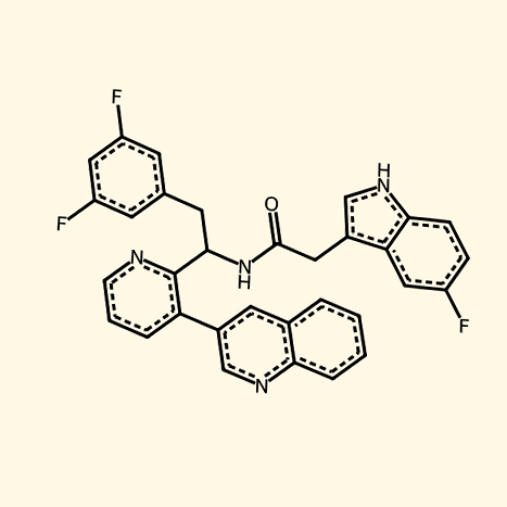 O=C(Cc1c[nH]c2ccc(F)cc12)NC(Cc1cc(F)cc(F)c1)c1ncccc1-c1cnc2ccccc2c1